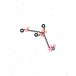 O=C(CCCCCCCCCCC(CCCCCCCCCCC(=O)ON1C(=O)CCC1=O)(C(=O)OCc1ccccc1)C(=O)OCc1ccccc1)OCc1ccccc1